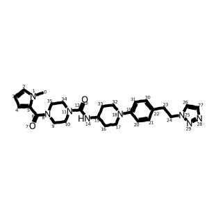 Cn1cccc1C(=O)N1CCN(C(=O)NC2CCN(c3ccc(CCn4ccnn4)cc3)CC2)CC1